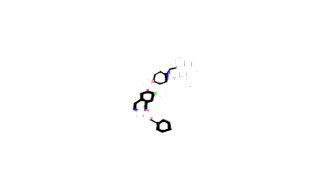 C=CCC1(N)CCC(Oc2cc3ccnc(OCc4ccccc4)c3cc2Cl)CC1